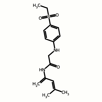 C=C(C=C(C)C)NC(=O)CNc1ccc(S(=O)(=O)CC)cc1